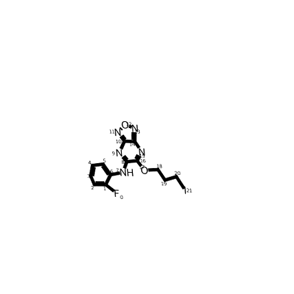 Fc1ccccc1Nc1nc2nonc2nc1OCCCI